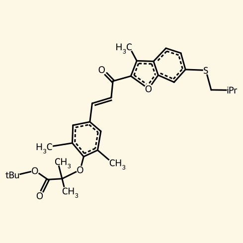 Cc1cc(/C=C/C(=O)c2oc3cc(SCC(C)C)ccc3c2C)cc(C)c1OC(C)(C)C(=O)OC(C)(C)C